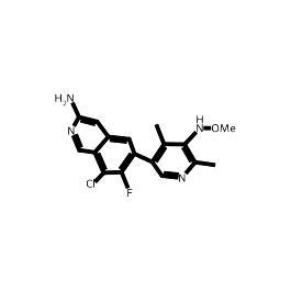 CONc1c(C)ncc(-c2cc3cc(N)ncc3c(Cl)c2F)c1C